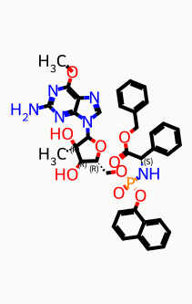 COc1nc(N)nc2c1ncn2C1O[C@H](COP(=O)(N[C@H](C(=O)OCc2ccccc2)c2ccccc2)Oc2cccc3ccccc23)[C@@H](O)[C@@]1(C)O